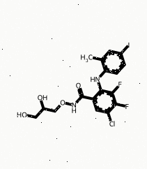 Cc1cc(I)ccc1Nc1c(C(=O)NOCC(O)CO)cc(Cl)c(F)c1F